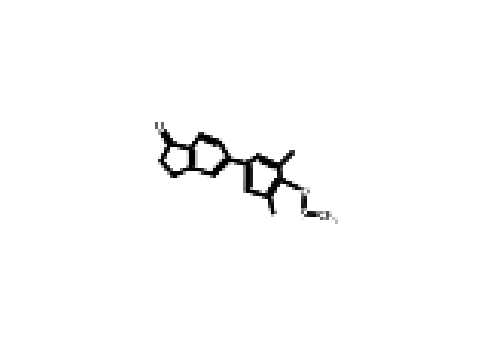 Cc1cc(-c2ccc3c(c2)CCC3=O)cc(C)c1OSC(F)(F)F